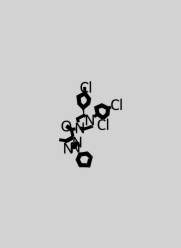 Cc1nn(-c2ccccc2)nc1C(=O)N1CCN(c2ccc(Cl)cc2Cl)[C@H](c2ccc(Cl)cc2)C1